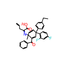 C=CCC(=NC1(C)C=CC(c2ccc(CC)cc2)(c2ccc(F)cc2F)C=C1C(=O)c1ccccc1)C(=O)O